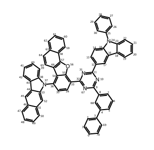 c1ccc(-c2cccc(-c3nc(-c4ccc5c(c4)c4ccccc4n5-c4ccccc4)nc(-c4ccc(-n5c6ccccc6c6cc7ccccc7cc65)c5c4oc4c6ccccc6ccc45)n3)c2)cc1